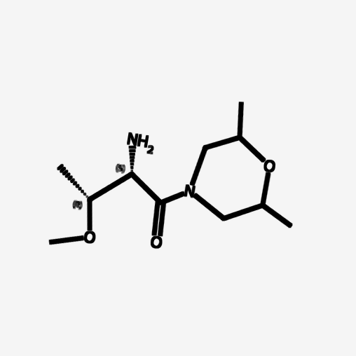 CO[C@H](C)[C@H](N)C(=O)N1CC(C)OC(C)C1